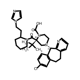 CC(C)(C)[C@]1(C(=O)N2CCCCC2CCn2ccnc2)CN([C@H]2c3ccc(Cl)cc3CCc3cccnc32)CCN1C(=O)O